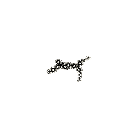 CCCCCCc1ccc(N(c2ccc(CCCCCC)cc2)c2ccc(-c3ccc4c5c(ccc4c3)OC(c3ccccc3)(c3ccc(-c4ccc(C=O)cc4)cc3)C=C5)cc2)cc1